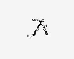 C=CCOC[C@H](BOC=N)C(=O)OC